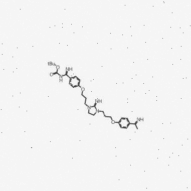 CC(=N)c1ccc(OCCCN2CCN(CCCOc3ccc(C(=N)NC(=O)OC(C)(C)C)cc3)C2=N)cc1